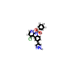 Cn1cc(-c2ccc3c(c2)c2c(Cl)ccnc2n3S(=O)(=O)c2ccccc2)cn1